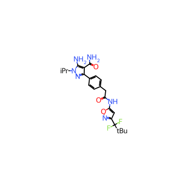 CC(C)n1nc(-c2ccc(CC(=O)Nc3cc(C(F)(F)C(C)(C)C)no3)cc2)c(C(N)=O)c1N